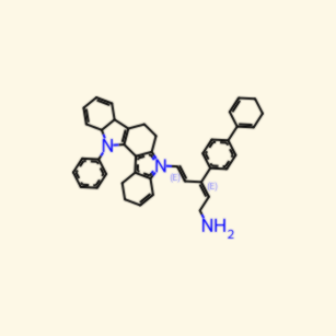 NC/C=C(\C=C\n1c2c(c3c1CCC1=C3N(c3ccccc3)C3C=CC=CC13)CCC=C2)c1ccc(C2=CCCC=C2)cc1